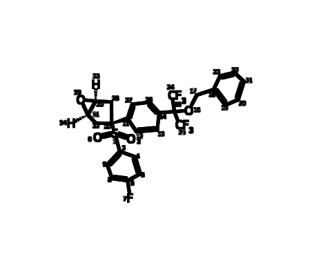 O=S(=O)(c1ccc(F)cc1)[C@@]1(c2ccc(C(OCc3ccccc3)(C(F)(F)F)C(F)(F)F)cc2)C[C@@H]2O[C@@H]2C1